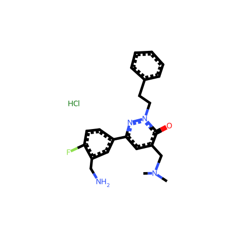 CN(C)Cc1cc(-c2ccc(F)c(CN)c2)nn(CCc2ccccc2)c1=O.Cl